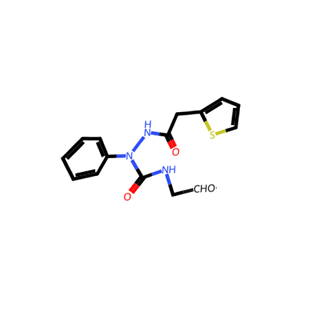 O=[C]CNC(=O)N(NC(=O)Cc1cccs1)c1ccccc1